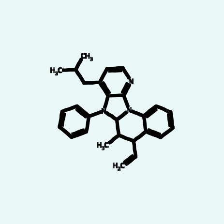 C=CC1c2ccccc2N2c3nccc(CC(C)C)c3N(c3ccccc3)C2C1C